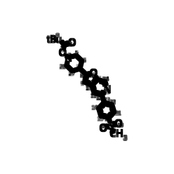 CC(C)(C)C(=O)ON1CCC(c2cc3cc(-c4ccc(S(C)(=O)=O)cc4)ncc3o2)CC1